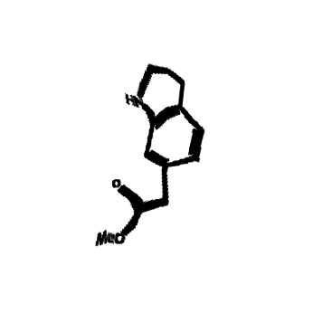 COC(=O)Cc1ccc2c(c1)NCC2